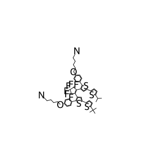 CC(C)c1ccc(-c2cc(C3=C(c4cc(-c5ccc(C(C)(C)C)s5)sc4-c4ccc(OCCCCC#N)cc4)C(F)(F)C(F)(F)C3(F)F)c(-c3ccc(OCCCCC#N)cc3)s2)s1